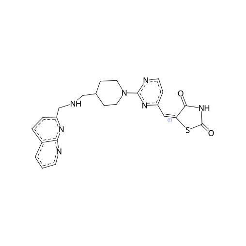 O=C1NC(=O)/C(=C\c2ccnc(N3CCC(CNCc4ccc5cccnc5n4)CC3)n2)S1